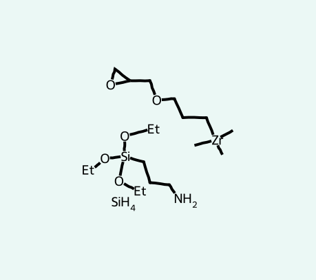 CCO[Si](CCCN)(OCC)OCC.[CH3][Zr]([CH3])([CH3])[CH2]CCOCC1CO1.[SiH4]